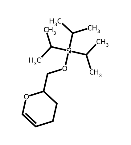 CC(C)[Si](OCC1CCC=CO1)(C(C)C)C(C)C